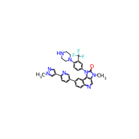 Cn1cc(-c2ccc(-c3ccc4ncc5c(c4c3)n(-c3ccc(N4CCNCC4)c(C(F)(F)F)c3)c(=O)n5C)cn2)cn1